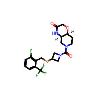 O=C1CO[C@H]2CCN(C(=O)N3CC(SCc4c(F)cccc4C(F)(F)F)C3)C[C@H]2N1